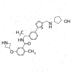 Cc1ccc(OC2CNC2)cc1C(=O)N[C@H](C)c1cccc(-c2ccc(CN[C@@H]3CC[C@H](O)C3)s2)c1